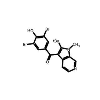 Cn1c(C(C)(C)C)c(C(=O)c2cc(Br)c(O)c(Br)c2)c2ccncc21